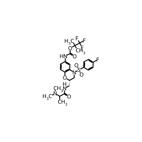 CC(C(=O)NC[C@H]1CN(S(=O)(=O)c2ccc(F)cc2)c2cc(NC(=O)OC(C)(C)C(F)(F)F)ccc2O1)N(C)C